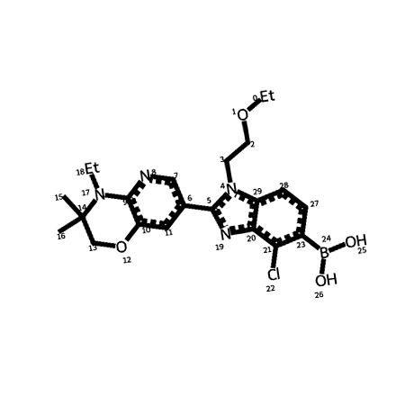 CCOCCn1c(-c2cnc3c(c2)OCC(C)(C)N3CC)nc2c(Cl)c(B(O)O)ccc21